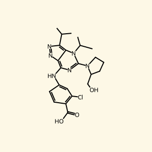 CC(C)c1nnc2c(Nc3ccc(C(=O)O)c(Cl)c3)nc(N3CCCC3CO)n(C(C)C)c1-2